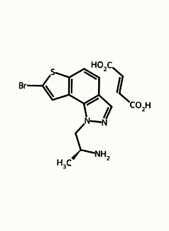 C[C@H](N)Cn1ncc2ccc3sc(Br)cc3c21.O=C(O)/C=C/C(=O)O